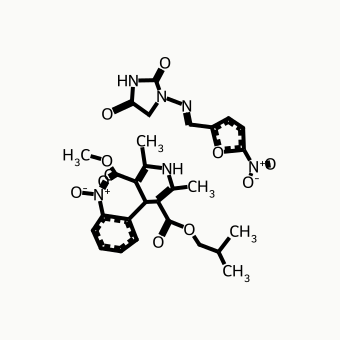 COC(=O)C1=C(C)NC(C)=C(C(=O)OCC(C)C)C1c1ccccc1[N+](=O)[O-].O=C1CN(/N=C/c2ccc([N+](=O)[O-])o2)C(=O)N1